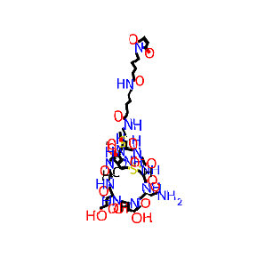 CC[C@H](C)[C@H]1NC(=O)CNC(=O)[C@@H]2Cc3c([nH]c4c(CSCCNC(=O)CCCCCNC(=O)CCCCCN5C(=O)C=CC5=O)c(OC)ccc34)[S+]([O-])C[C@H](NC(=O)CNC1=O)C(=O)N[C@@H](CC(N)=O)C(=O)N1C[C@H](O)C[C@@H]1C(=O)N[C@@H]([C@@H](C)[C@@H](O)CO)C(=O)N2